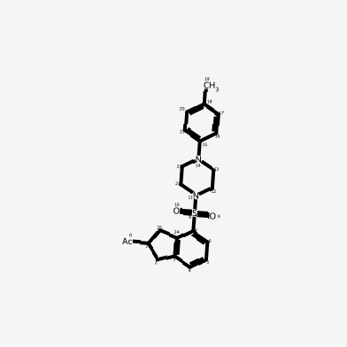 CC(=O)C1Cc2cccc(S(=O)(=O)N3CCN(c4ccc(C)cc4)CC3)c2C1